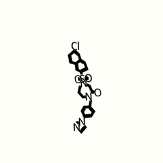 O=C1CN(S(=O)(=O)c2ccc3cc(Cl)ccc3c2)CCCN1Cc1ccc(-n2ccnc2)cc1